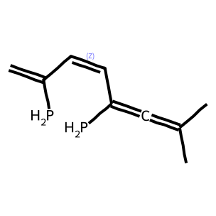 C=C(P)/C=C\C(P)=C=C(C)C